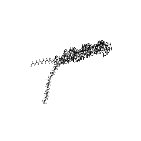 CCCCCCCCCCCCC/C=C/[C@@H](O)[C@H](CO[C@@H]1OC(CO)[C@@H](O[C@@H]2OC(CO)[C@H](O[C@@H]3OC(CO)[C@H](O)[C@H](O[C@H]4OC(CO)[C@H](O)[C@H](O[C@H]5OC(CO)[C@H](O)[C@H](O[C@H]6OC(CO)[C@H](O)[C@H](O[C@@H]7OC(CO)[C@H](O)[C@H](O)C7NC(C)=O)C6O)C5O)C4O)C3O)[C@H](O)C2O)[C@H](O)C1O)NC(=O)CCCCCCCCCCCCCCCCCCCCCCC